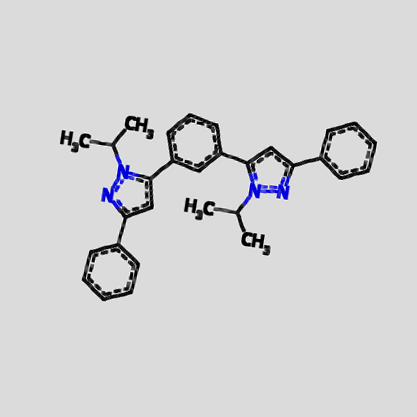 CC(C)n1nc(-c2ccccc2)cc1-c1cccc(-c2cc(-c3ccccc3)nn2C(C)C)c1